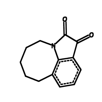 O=C1C(=O)N2CCCCCc3cccc1c32